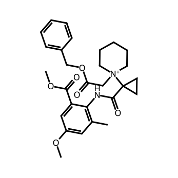 COC(=O)c1cc(OC)cc(C)c1NC(=O)C1([N+]2(CC(=O)OCc3ccccc3)CCCCC2)CC1